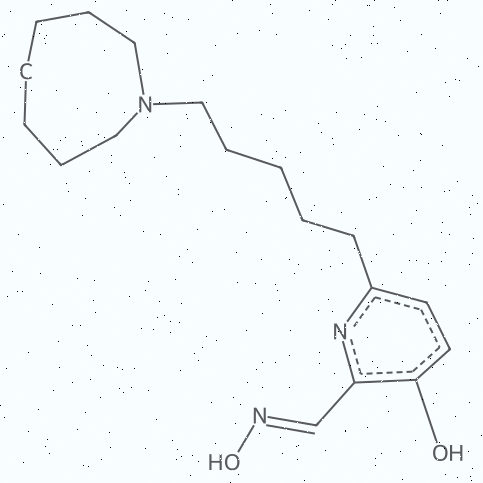 ON=Cc1nc(CCCCCN2CCCCCCC2)ccc1O